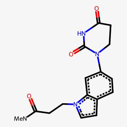 CNC(=O)CCn1ccc2ccc(N3CCC(=O)NC3=O)cc21